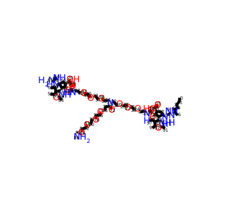 CCCCCC(C)NC(=N)N[C@@H]1C[C@H](C(=O)O)[C@H](OC(=O)NCCOCCOCCOCCN(CCOCCOCCOCCNC(=O)O[C@H]2[C@@H]([C@H](NC(C)=O)C(CC)CC)[C@H](NC(=N)N)C[C@@H]2C(=O)O)C(=O)CCOCCOCCOCCOCN)[C@H]1[C@H](NC(C)=O)C(CC)CC